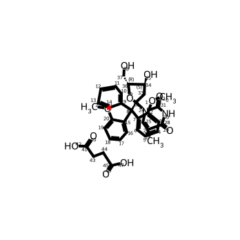 COc1ccccc1C(c1ccccc1)(c1ccccc1OC)[C@]1(n2cc(C)c(=O)[nH]c2=O)C[C@H](O)[C@@H](CO)O1.O=C(O)CCC(=O)O